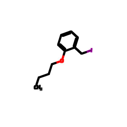 CCCCOc1ccccc1CI